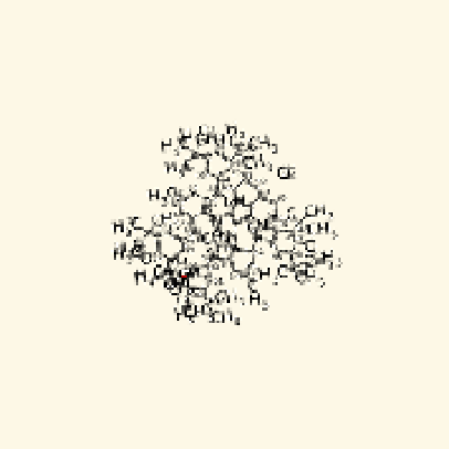 COc1c(C(C)(C)C)cc([C@@H](C)c2cc(C)cc([C@H](C)c3cc(C(C)(C)C)c(OC)c(C(C)(C)C)c3)c2-n2c[n+](-c3c([C@H](C)c4cc(C(C)(C)C)c(OC)c(C(C)(C)C)c4)cc(C)cc3[C@H](C)c3cc(C(C)(C)C)c(OC)c(C(C)(C)C)c3)c3c2-c2cccc4cccc-3c24)cc1C(C)(C)C.[Cl-]